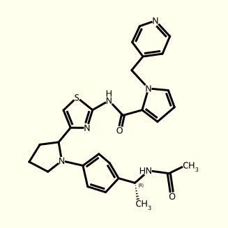 CC(=O)N[C@H](C)c1ccc(N2CCCC2c2csc(NC(=O)c3cccn3Cc3ccncc3)n2)cc1